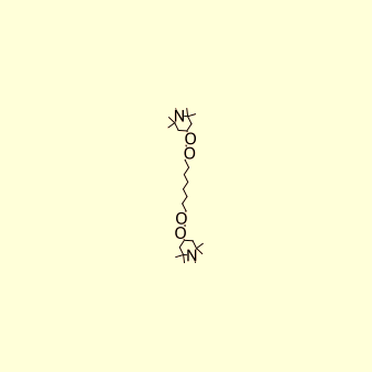 CN1C(C)(C)CC(OCOCCCCCCCCOCOC2CC(C)(C)N(C)C(C)(C)C2)CC1(C)C